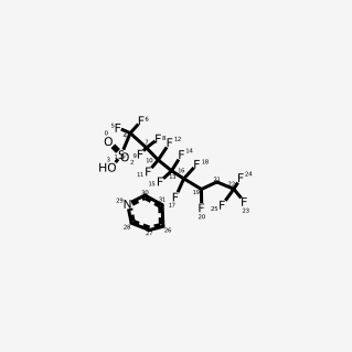 O=S(=O)(O)C(F)(F)C(F)(F)C(F)(F)C(F)(F)C(F)(F)C(F)CC(F)(F)F.c1ccncc1